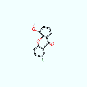 COc1cccc2c(=O)c3cc(F)ccc3oc12